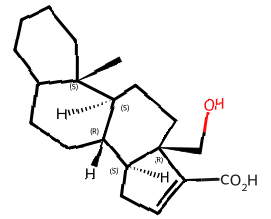 C[C@]12CCCCC1CC[C@H]1[C@@H]3CC=C(C(=O)O)[C@@]3(CO)CC[C@@H]12